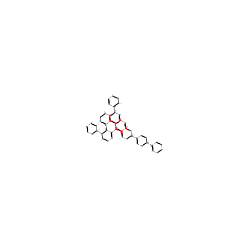 c1ccc(-c2ccc(-c3ccc(N(c4ccc(-c5ccccc5)cc4)c4cccc(-c5ccccc5)c4-c4ccccc4-c4ccccc4)cc3)cc2)cc1